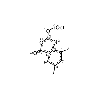 CCCCCCCCOc1nc2c(C)cc(C)cc2c(=O)o1